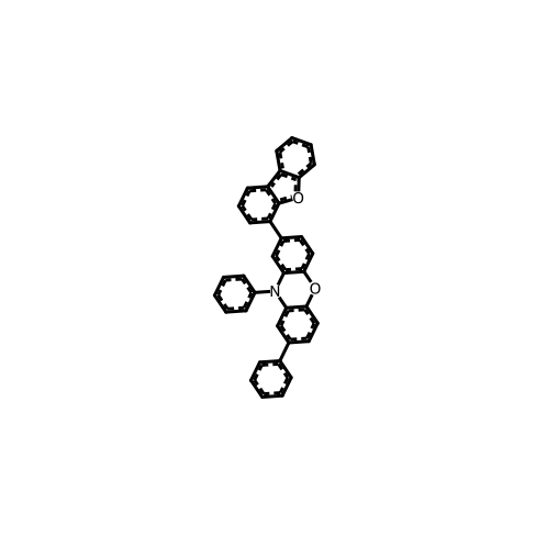 c1ccc(-c2ccc3c(c2)N(c2ccccc2)c2cc(-c4cccc5c4oc4ccccc45)ccc2O3)cc1